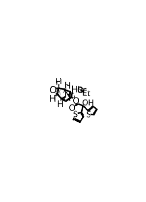 Br.CC[O-].C[N+]1(C)[C@@H]2C[C@@H](OC(=O)C(O)(c3cccs3)c3cccs3)C[C@H]1[C@@H]1O[C@@H]12